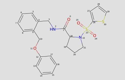 O=C(NCc1ccccc1COc1ccccc1)C1CCCN1S(=O)(=O)c1cccs1